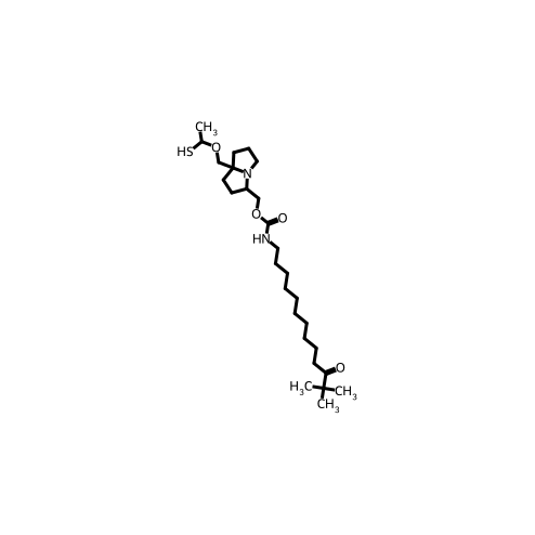 CC(S)OCC12CCCN1C(COC(=O)NCCCCCCCCCCC(=O)C(C)(C)C)CC2